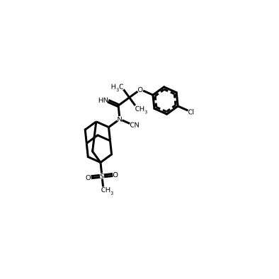 CC(C)(Oc1ccc(Cl)cc1)C(=N)N(C#N)C1C2CC3CC1CC(S(C)(=O)=O)(C3)C2